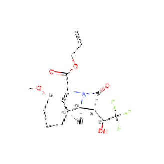 C=CCOC(=O)C1=C2[C@@H](OC)CCC[C@@H]2[C@@H]2[C@@H]([C@H](O)C(F)(F)F)C(=O)N12